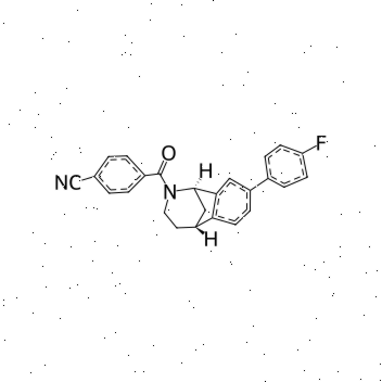 N#Cc1ccc(C(=O)N2CC[C@@H]3C[C@@H]2c2cc(-c4ccc(F)cc4)ccc23)cc1